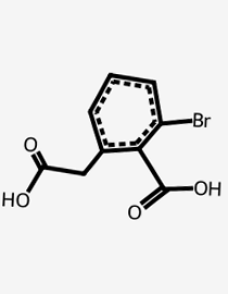 O=C(O)Cc1cccc(Br)c1C(=O)O